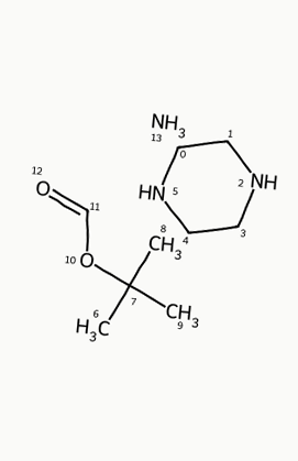 C1CNCCN1.CC(C)(C)OC=O.N